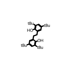 CC(C)(C)c1cc(CCc2cc(C(C)(C)C)cc(C(C)(C)C)c2O)c(O)c(C(C)(C)C)c1